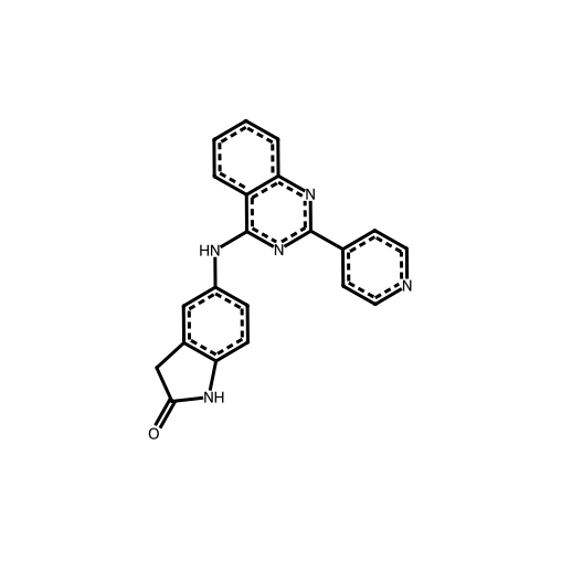 O=C1Cc2cc(Nc3nc(-c4ccncc4)nc4ccccc34)ccc2N1